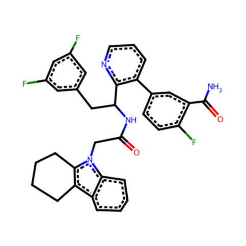 NC(=O)c1cc(-c2cccnc2C(Cc2cc(F)cc(F)c2)NC(=O)Cn2c3c(c4ccccc42)CCCC3)ccc1F